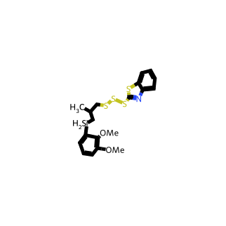 COc1cccc([SiH2]CC(C)CSSSc2nc3ccccc3s2)c1OC